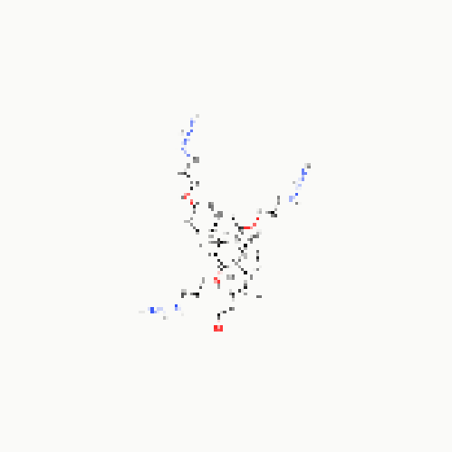 C[C@H](CCCO)[C@H]1CC[C@H]2C3[C@H](OCCCN=[N+]=[N-])CC4C[C@H](OCCCN=[N+]=[N-])CC[C@]4(C)[C@H]3C[C@H](OCCCN=[N+]=[N-])[C@]12C